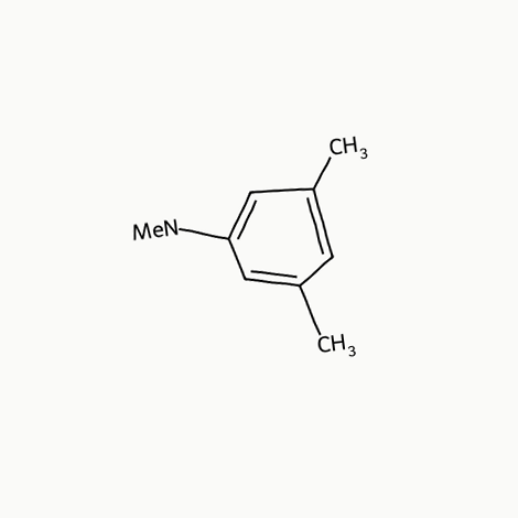 [CH2]Nc1cc(C)cc(C)c1